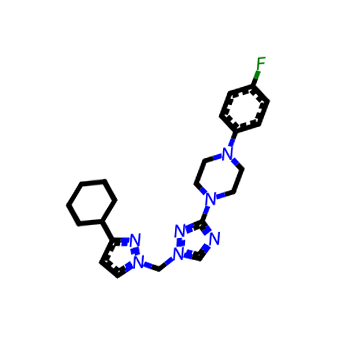 Fc1ccc(N2CCN(c3ncn(Cn4ccc(C5CCCCC5)n4)n3)CC2)cc1